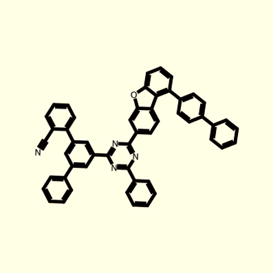 N#Cc1ccccc1-c1cc(-c2ccccc2)cc(-c2nc(-c3ccccc3)nc(-c3ccc4c(c3)oc3cccc(-c5ccc(-c6ccccc6)cc5)c34)n2)c1